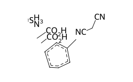 CC(=O)O.CC(=O)O.Cc1ccccc1.N.N#CCC#N.[S]